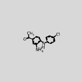 CC(=O)c1ccc(Nc2ccc(Cl)cc2)c(N)c1